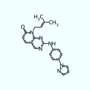 CC(C)=CCn1c(=O)ccc2cnc(Nc3ccc(-n4cccn4)cc3)nc21